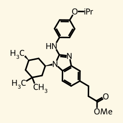 COC(=O)CCc1ccc2c(c1)nc(Nc1ccc(OC(C)C)cc1)n2[C@@H]1C[C@H](C)CC(C)(C)C1